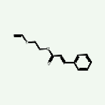 C=CSCCOC(=O)C=Cc1ccccc1